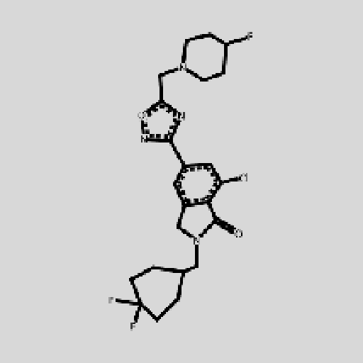 O=C1c2c(Cl)cc(-c3noc(CN4CCC(F)CC4)n3)cc2CN1CC1CCC(F)(F)CC1